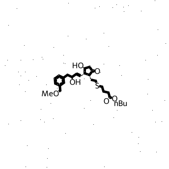 CCCCOC(=O)CCCSCC[C@H]1C(=O)C[C@@H](O)[C@H]1/C=C/[C@@H](O)Cc1cccc(COC)c1